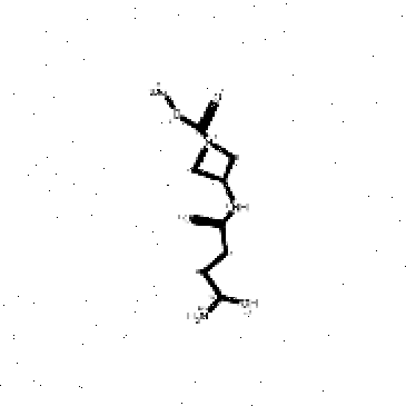 CC(C)(C)OC(=O)N1CC(NC(=O)CCC(N)O)C1